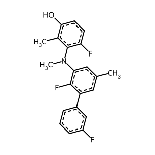 Cc1cc(-c2cccc(F)c2)c(F)c(N(C)c2c(F)ccc(O)c2C)c1